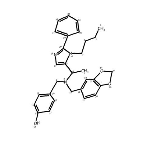 CCCCn1c(C(C)N(Cc2ccc(O)cc2)Cc2ccc3c(c2)OCO3)cnc1-c1ccccc1